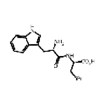 CC(C)C[C@@H](NC(=O)[C@H](N)Cc1c[nH]c2ccccc12)C(=O)O